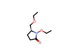 CCOC[C@@H]1CCC(=O)N1OCC